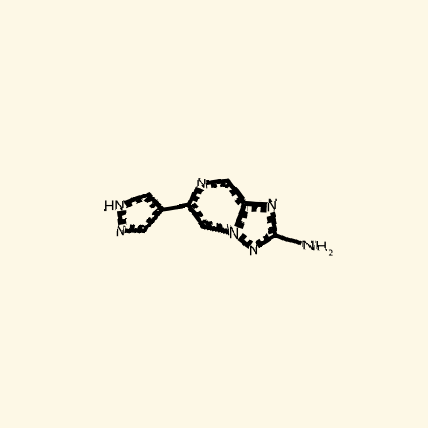 Nc1nc2cnc(-c3cn[nH]c3)cn2n1